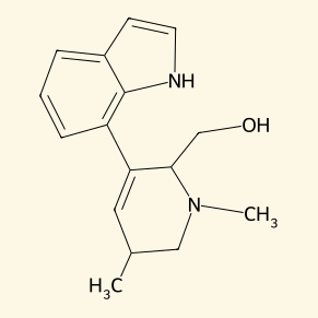 CC1C=C(c2cccc3cc[nH]c23)C(CO)N(C)C1